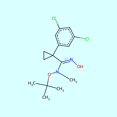 CN(OC(C)(C)C)/C(=N\O)C1(c2cc(Cl)cc(Cl)c2)CC1